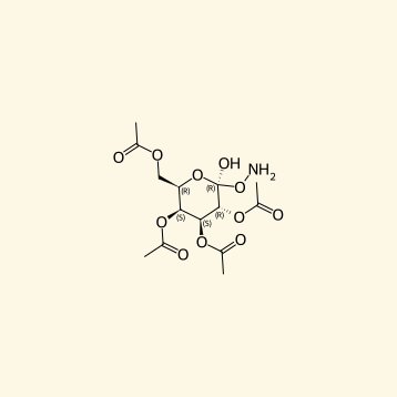 CC(=O)OC[C@H]1O[C@@](O)(ON)[C@H](OC(C)=O)[C@@H](OC(C)=O)[C@H]1OC(C)=O